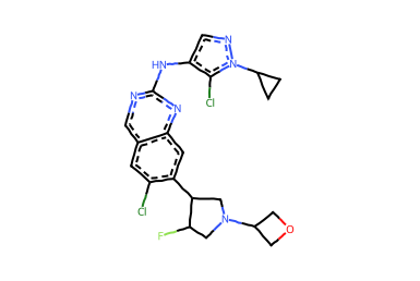 FC1CN(C2COC2)CC1c1cc2nc(Nc3cnn(C4CC4)c3Cl)ncc2cc1Cl